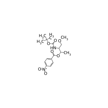 COCC(NC(=O)OC(C)(C)C)C(C)OC(=O)c1ccc([N+](=O)[O-])cc1